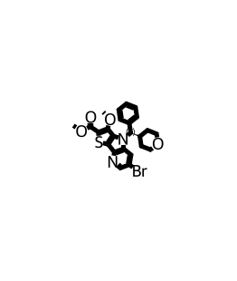 COC(=O)c1sc2c3ncc(Br)cc3n([C@H](c3ccccc3)C3CCOCC3)c2c1OC